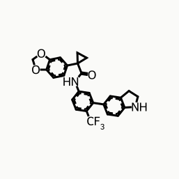 O=C(Nc1ccc(C(F)(F)F)c(-c2ccc3c(c2)CCN3)c1)C1(c2ccc3c(c2)OCO3)CC1